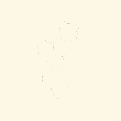 CC1=CC=CNC(C2=CCCc3c2ccc2c3CCc3ccccc3-2)=C1